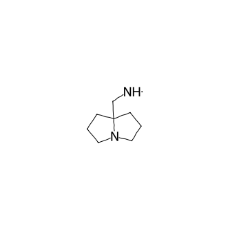 [NH]CC12CCCN1CCC2